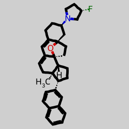 C[C@]12CC=C3C=C4CC[C@@H](N5CC[C@H](F)C5)C[C@]45CC[C@]3(O5)[C@@H]1CC[C@@H]2c1ccc2ccccc2c1